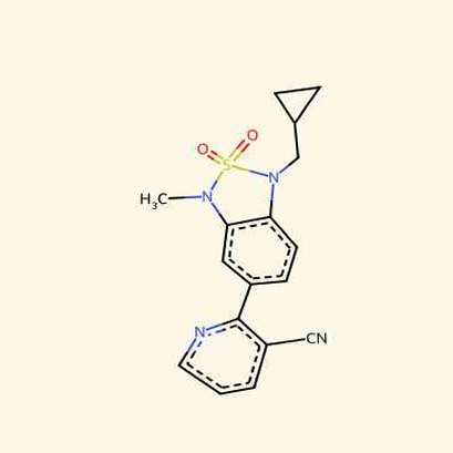 CN1c2cc(-c3ncccc3C#N)ccc2N(CC2CC2)S1(=O)=O